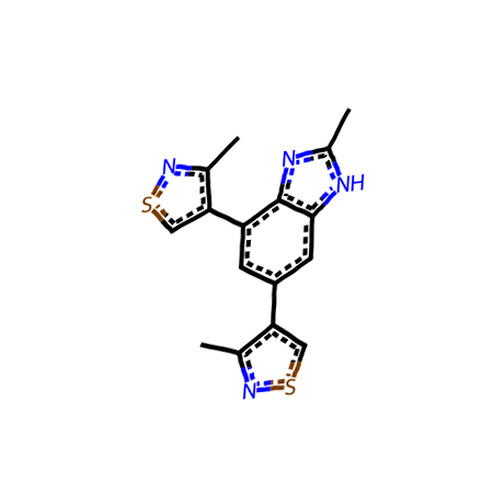 Cc1nc2c(-c3csnc3C)cc(-c3csnc3C)cc2[nH]1